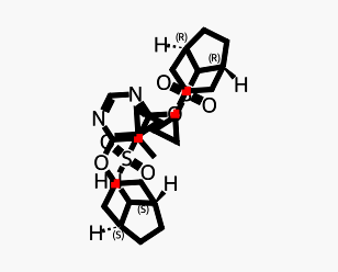 Cc1c(OC2C[C@@H]3CC[C@@H](C2)C3NS(=O)(=O)C2CC2)ncnc1OC1C[C@H]2CC[C@H](C1)C2S(=O)(=O)C1CC1